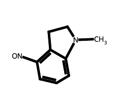 CN1CCc2c(N=O)cccc21